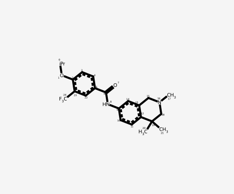 CC(C)Oc1ccc(C(=O)Nc2ccc3c(c2)CN(C)CC3(C)C)cc1C(F)(F)F